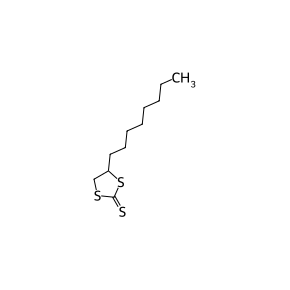 CCCCCCCCC1CSC(=S)S1